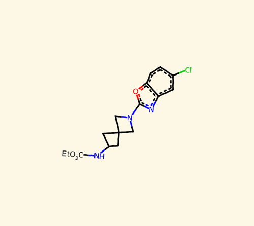 CCOC(=O)NC1CC2(C1)CN(c1nc3cc(Cl)ccc3o1)C2